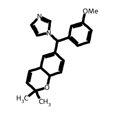 COc1cccc(C(C2=CC3C=CC(C)(C)OC3C=C2)n2ccnc2)c1